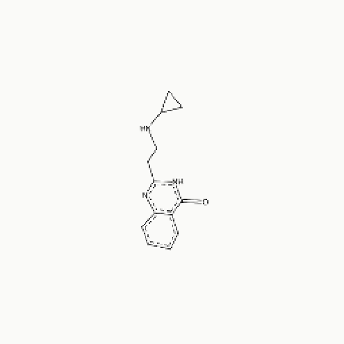 O=c1[nH]c(CCNC2CC2)nc2ccccc12